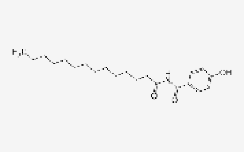 CCCCCCCCCCCCCC(=O)NC(=O)c1ccc(O)cc1